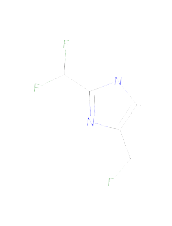 FCC1=[C][N]C(C(F)F)=N1